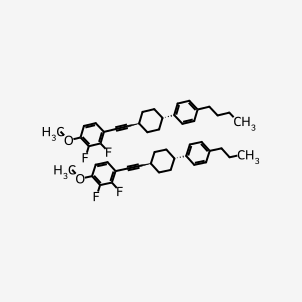 CCCCc1ccc([C@H]2CC[C@H](C#Cc3ccc(OC)c(F)c3F)CC2)cc1.CCCc1ccc([C@H]2CC[C@H](C#Cc3ccc(OC)c(F)c3F)CC2)cc1